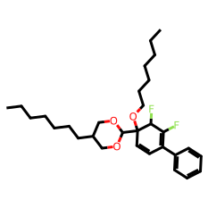 CCCCCCCOC1(C2OCC(CCCCCCC)CO2)C=CC(c2ccccc2)=C(F)C1F